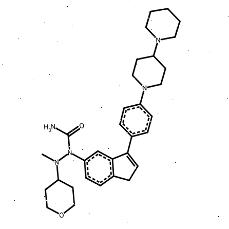 CN(C1CCOCC1)N(C(N)=O)c1ccc2c(c1)C(c1ccc(N3CCC(N4CCCCC4)CC3)cc1)=CC2